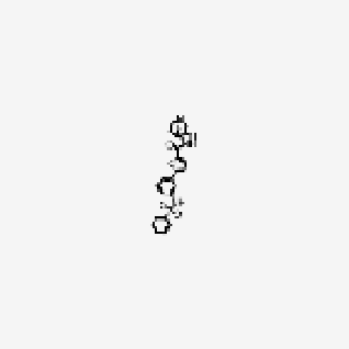 O=C(N[C@H]1CN2CCC1CC2)c1ccc(-c2cccc(NS(=O)(=O)c3ccccc3)c2)o1